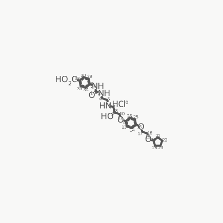 Cl.O=C(NCCNCC(O)COc1ccc(OCCOC2CCCC2)cc1)Nc1ccc(C(=O)O)cc1